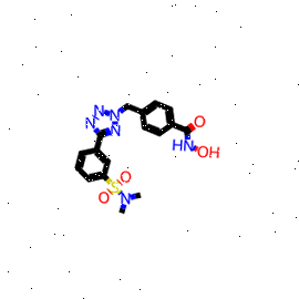 CN(C)S(=O)(=O)c1cccc(-c2nnn(Cc3ccc(C(=O)NO)cc3)n2)c1